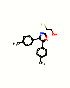 Cc1ccc(-c2ncoc2-c2ccc(C)cc2)cc1.OCCS